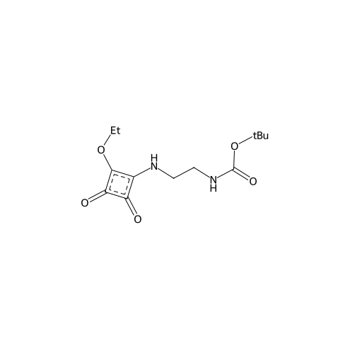 CCOc1c(NCCNC(=O)OC(C)(C)C)c(=O)c1=O